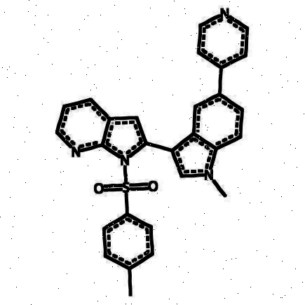 Cc1ccc(S(=O)(=O)n2c(-c3cn(C)c4ccc(-c5ccncc5)cc34)cc3cccnc32)cc1